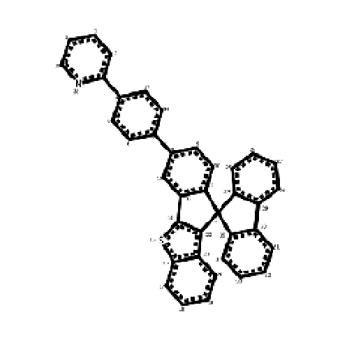 c1ccc(-c2ccc(-c3ccc4c(c3)-c3sc5ccccc5c3C43c4ccccc4-c4ccccc43)cc2)nc1